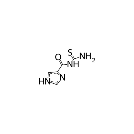 NC(=S)NC(=O)c1c[nH]cn1